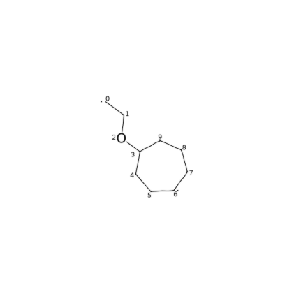 [CH2]COC1CC[CH]CCC1